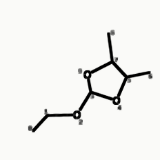 CCOC1OC(C)C(C)O1